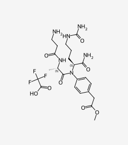 COC(=O)Cc1ccc(N(C(=O)[C@H](C)NC(=O)CCN)[C@@H](CCCNC(N)=O)C(N)=O)cc1.O=C(O)C(F)(F)F